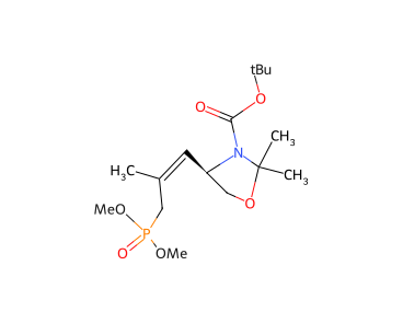 COP(=O)(CC(C)=C[C@@H]1COC(C)(C)N1C(=O)OC(C)(C)C)OC